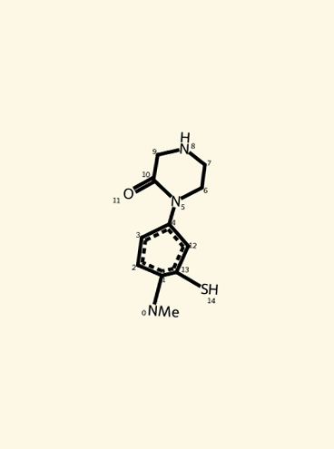 CNc1ccc(N2CCNCC2=O)cc1S